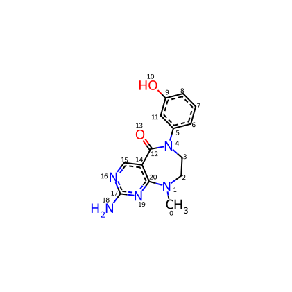 CN1CCN(c2cccc(O)c2)C(=O)c2cnc(N)nc21